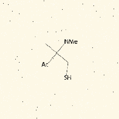 CNC(C)(CS)C(C)=O